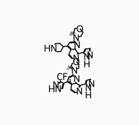 C[C@@H]1COCCN1c1cc(-c2c[nH]nc2C(F)(F)F)c2ccnc(-c3ccn[nH]3)c2n1.C[C@@H]1COCCN1c1cc(C2CCNCC2)c2ccnc(-c3ccn[nH]3)c2n1